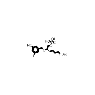 CCCCCCCCCCCCCC[C@@H](COP(=O)(O)O)OCc1cc(F)cc(C#N)c1